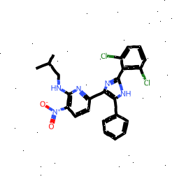 CC(C)CNc1nc(-c2nc(-c3c(Cl)cccc3Cl)[nH]c2-c2ccccc2)ccc1[N+](=O)[O-]